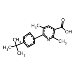 Cc1cc(C(=O)O)c(C)nc1-c1ccc(C(C)(C)C)cc1